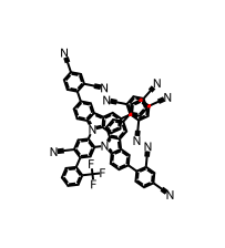 N#Cc1ccc(-c2ccc3c(c2)c2cc(-c4ccc(C#N)cc4C#N)ccc2n3-c2cc(C#N)c(-c3ccccc3C(F)(F)F)cc2-n2c3ccc(-c4ccc(C#N)cc4C#N)cc3c3cc(-c4ccc(C#N)cc4C#N)ccc32)c(C#N)c1